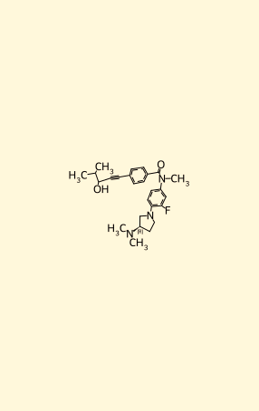 CC(C)C(O)C#Cc1ccc(C(=O)N(C)c2ccc(N3CC[C@@H](N(C)C)C3)c(F)c2)cc1